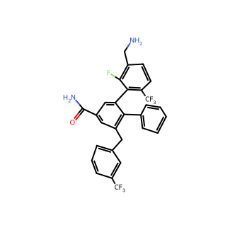 NCc1ccc(C(F)(F)F)c(-c2cc(C(N)=O)cc(Cc3cccc(C(F)(F)F)c3)c2-c2ccccc2)c1F